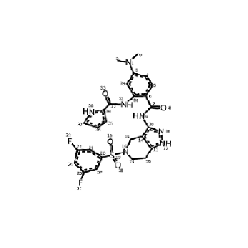 CN(C)c1ccc(C(=O)Nc2n[nH]c3c2CN(S(=O)(=O)c2cc(F)cc(F)c2)CC3)c(NC(=O)c2ccc[nH]2)c1